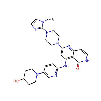 Cn1ccnc1N1CCN(c2cc(Nc3ccc(N4CCC(O)CC4)cn3)c3c(=O)[nH]ccc3n2)CC1